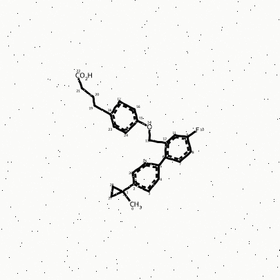 CC1(c2ccc(-c3ccc(F)cc3COc3ccc(CCCC(=O)O)cc3)cc2)CC1